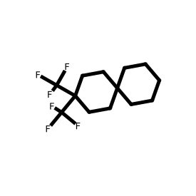 FC(F)(F)C1(C(F)(F)F)CCC2(CCCCC2)CC1